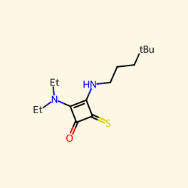 CCN(CC)c1c(NCCCC(C)(C)C)c(=S)c1=O